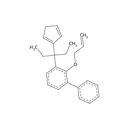 C=CCOc1c(-c2ccccc2)cccc1C(CC)(CC)C1=CCC=C1